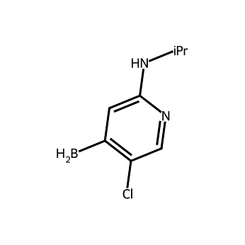 Bc1cc(NC(C)C)ncc1Cl